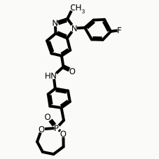 Cc1nc2ccc(C(=O)Nc3ccc(CP4(=O)OCCCCO4)cc3)cc2n1-c1ccc(F)cc1